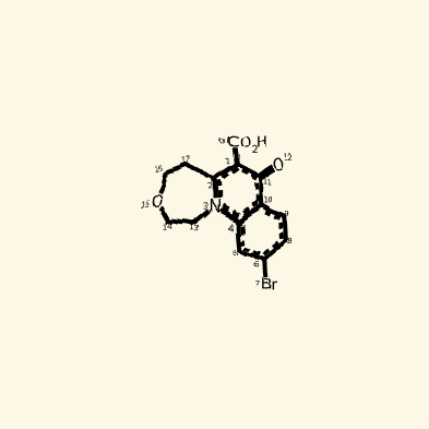 O=C(O)c1c2n(c3cc(Br)ccc3c1=O)CCOCC2